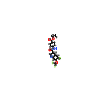 COC(=O)C1CCC(NC(=O)c2cnc3cc(OC(F)F)c(F)cc3c2)CC1